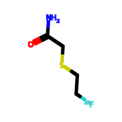 NC(=O)CSCC[18F]